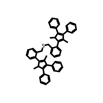 CC1=C(c2ccccc2CSCc2ccccc2C2=C(C)C(c3ccccc3)=C(c3ccccc3)C2C)C(C)C(c2ccccc2)=C1c1ccccc1